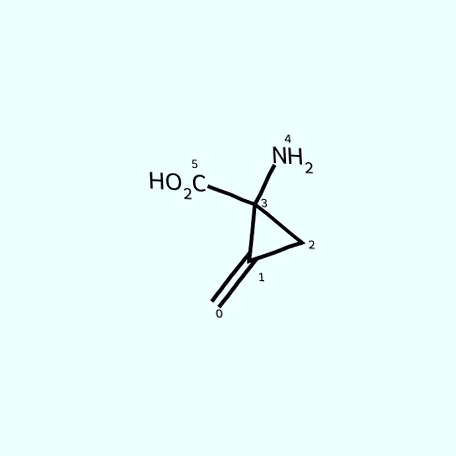 C=C1CC1(N)C(=O)O